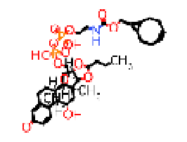 CCCC1O[C@@H]2C[C@H]3[C@@H]4CCC5=CC(=O)C=C[C@]5(C)[C@H]4[C@@H](O)C[C@]3(C)[C@]2(C(=O)COP(=O)(O)OP(=O)(O)OCCNC(=O)OCC2C3CCC#CCCC32)O1